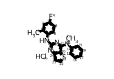 Cc1cc(F)ccc1Nc1nc(N(C)c2ccccc2)c2sccc2n1.Cl